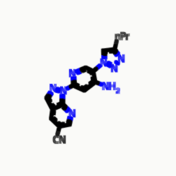 CCCc1cn(-c2cnc(-n3ncc4cc(C#N)cnc43)cc2N)nn1